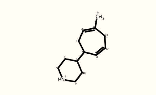 CC1=CCC(C2CCNCC2)C=CC1